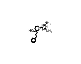 Nc1nc(N)nc(N2CCCC(CO)(CCCc3ccccc3)C2)n1